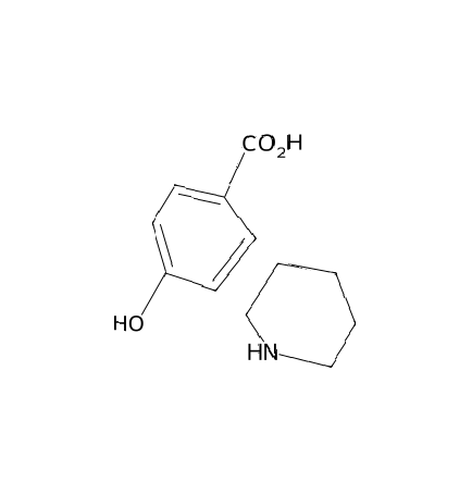 C1CCNCC1.O=C(O)c1ccc(O)cc1